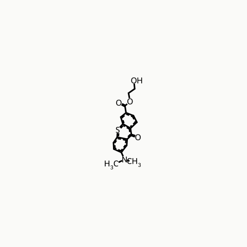 CN(C)c1ccc2sc3cc(C(=O)OCCO)ccc3c(=O)c2c1